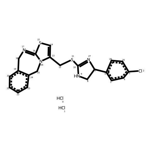 Cl.Cl.Clc1ccc(C2CNC(SCC3=CSC4=NCc5ccccc5CN34)=N2)cc1